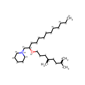 C=C(C)CCC(=C)CCCOC(CCCCCCCCCCC)CN1CCCCC1